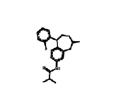 CC(C)C(=O)Nc1ccc2c(c1)CN(C)CCC2c1ccccc1F